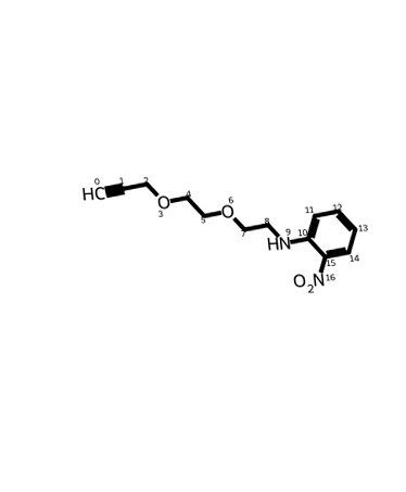 C#CCOCCOCCNc1ccccc1[N+](=O)[O-]